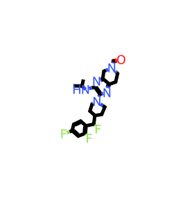 CC(C)Nc1nc2c(nc1N1CCC(C(F)c3ccc(F)cc3F)CC1)CCN(C=O)C2